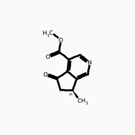 COC(=O)c1cncc2c1C(=O)C[C@@H]2C